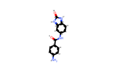 Nc1ccc(C(=O)Nc2ccc3c(c2)=NC(=O)N=3)cc1